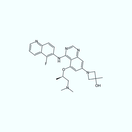 C[C@H](CN(C)C)Oc1cc(N2CC(C)(O)C2)cc2ncnc(Nc3ccc4ncccc4c3F)c12